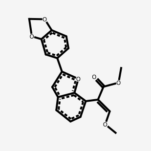 CO/C=C(/C(=O)OC)c1cccc2cc(-c3ccc4c(c3)OCO4)oc12